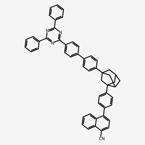 N#Cc1ccc(-c2ccc(C34CC5CC3CC(c3ccc(-c6ccc(-c7nc(-c8ccccc8)nc(-c8ccccc8)n7)cc6)cc3)(C5)C4)cc2)c2ccccc12